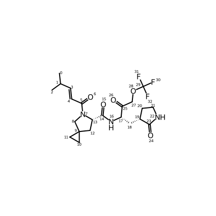 CC(C)/C=C/C(=O)N1CC2(CC2)C[C@H]1C(=O)N[C@@H](C[C@@H]1CCNC1=O)C(=O)COC(F)(F)F